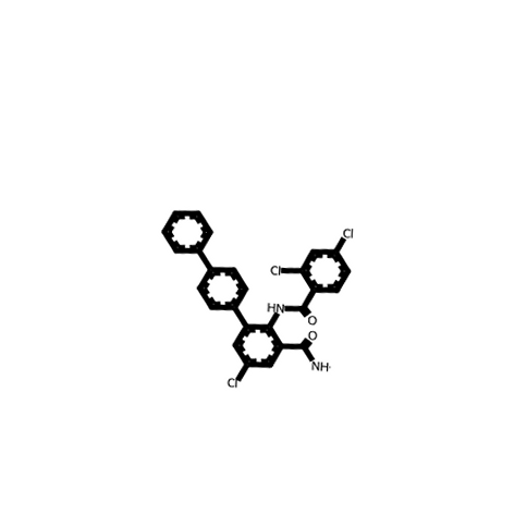 [NH]C(=O)c1cc(Cl)cc(-c2ccc(-c3ccccc3)cc2)c1NC(=O)c1ccc(Cl)cc1Cl